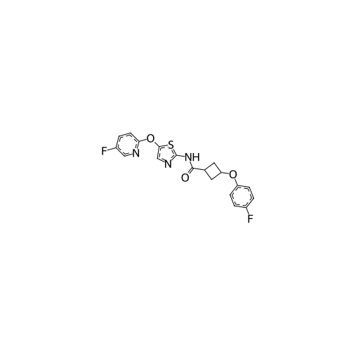 O=C(Nc1ncc(Oc2ccc(F)cn2)s1)C1CC(Oc2ccc(F)cc2)C1